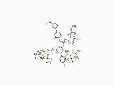 COC(=O)NC(C(=O)NN(Cc1c(F)cc(-c2ccn(C(F)F)n2)cc1F)CC(OC(=O)OCOP(=O)(OC(C)(C)C)OC(C)(C)C)C(Cc1ccc(I)cc1)NC(=O)C(NC(=O)O)C(C)(C)C(F)(F)F)C(C)(C)C(F)(F)F